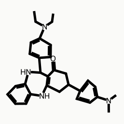 CCN(CC)c1ccc(C2Nc3ccccc3NC3=C2C(=O)CC(c2ccc(N(C)C)cc2)C3)cc1